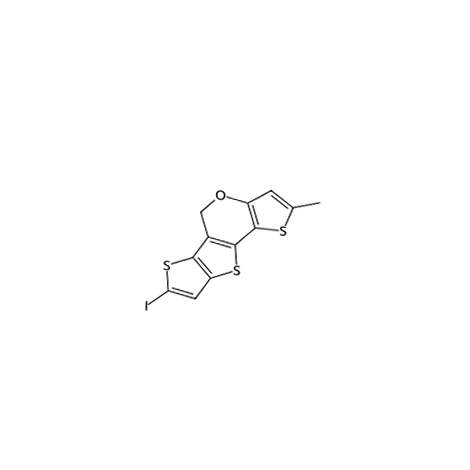 Cc1cc2c(s1)-c1sc3cc(I)sc3c1CO2